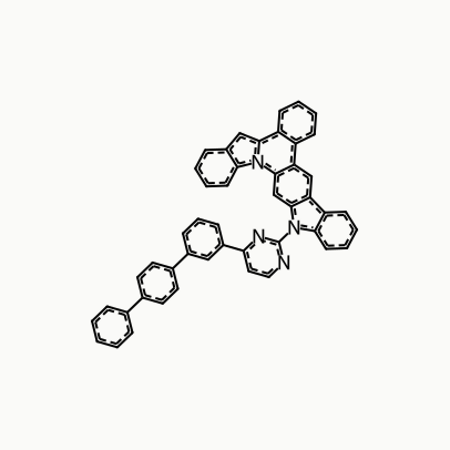 c1ccc(-c2ccc(-c3cccc(-c4ccnc(-n5c6ccccc6c6cc7c8ccccc8c8cc9ccccc9n8c7cc65)n4)c3)cc2)cc1